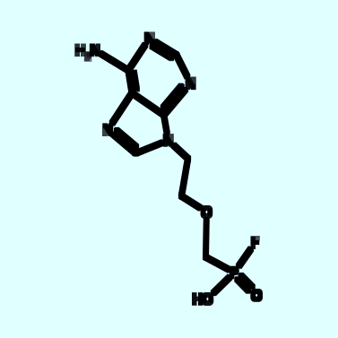 Nc1ncnc2c1ncn2CCOCP(=O)(O)F